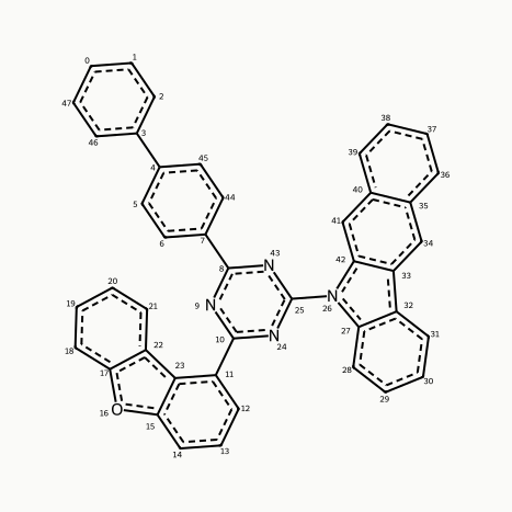 c1ccc(-c2ccc(-c3nc(-c4cccc5oc6ccccc6c45)nc(-n4c5ccccc5c5cc6ccccc6cc54)n3)cc2)cc1